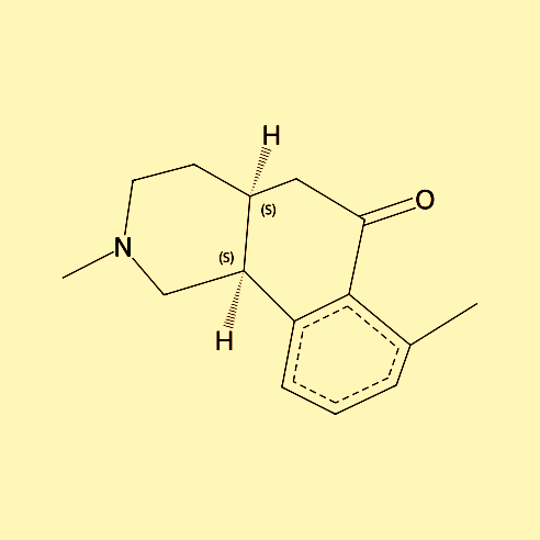 Cc1cccc2c1C(=O)C[C@@H]1CCN(C)C[C@H]21